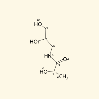 C[C@H](O)C(=O)NCC(O)CO